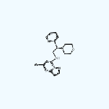 CC(C)c1cc(NCC(c2ccccn2)N2CCOCC2)n2nccc2n1